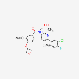 COc1cc(C(=O)NCC(O)(c2ccc(OC)c(-c3ccc(F)c(Cl)c3)n2)C(F)(F)F)ccc1OC1COC1